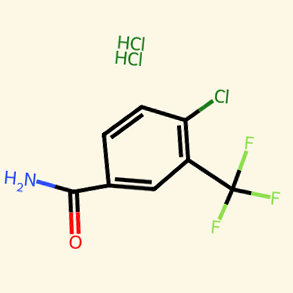 Cl.Cl.NC(=O)c1ccc(Cl)c(C(F)(F)F)c1